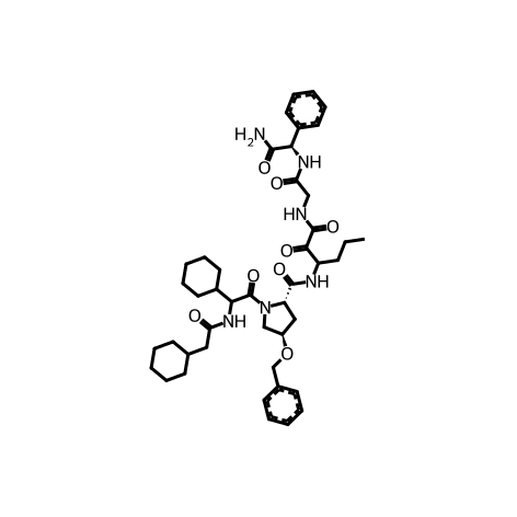 CCCC(NC(=O)[C@@H]1C[C@@H](OCc2ccccc2)CN1C(=O)C(NC(=O)CC1CCCCC1)C1CCCCC1)C(=O)C(=O)NCC(=O)N[C@@H](C(N)=O)c1ccccc1